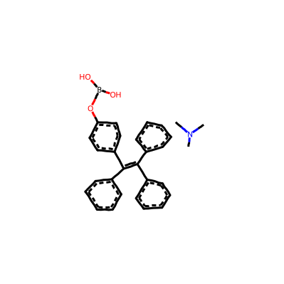 CN(C)C.OB(O)Oc1ccc(C(=C(c2ccccc2)c2ccccc2)c2ccccc2)cc1